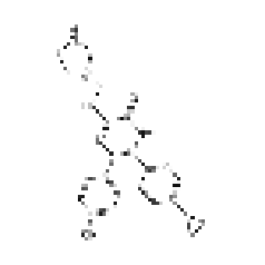 Cn1c(-c2ccc(C3CC3)cc2)c(-c2ccc(C#N)cc2)nc(NC[C@@H]2CCNC2)c1=O